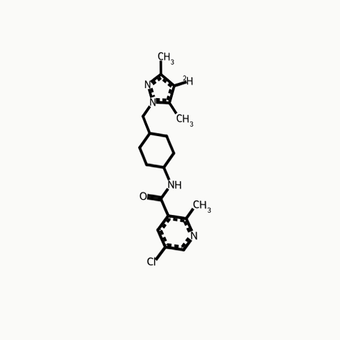 [2H]c1c(C)nn(CC2CCC(NC(=O)c3cc(Cl)cnc3C)CC2)c1C